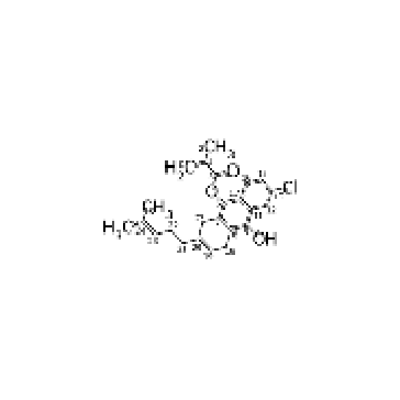 C=C(C)C(=O)Oc1c2c(c(O)c3cc(Cl)ccc13)CC=C(CCC=C(C)C)C2